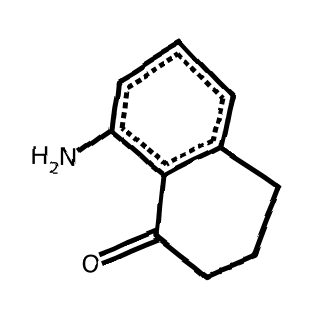 Nc1cccc2c1C(=O)CCC2